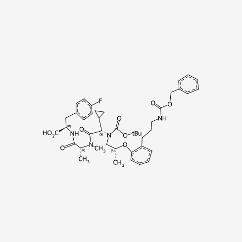 C[C@H](CN(C(=O)OC(C)(C)C)[C@H](C(=O)N(C)[C@H](C)C(=O)N[C@H](Cc1ccc(F)cc1)C(=O)O)C1CC1)Oc1ccccc1CCCNC(=O)OCc1ccccc1